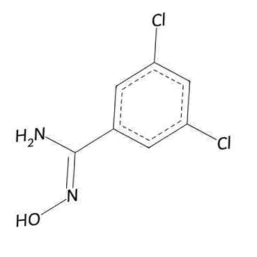 N/C(=N\O)c1cc(Cl)cc(Cl)c1